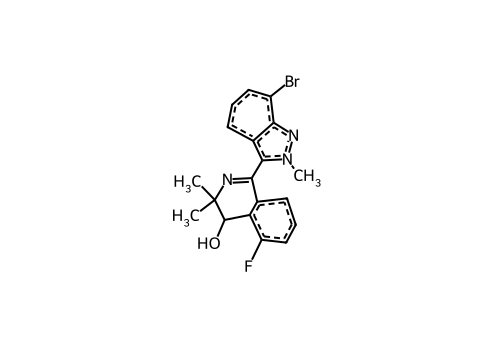 Cn1nc2c(Br)cccc2c1C1=NC(C)(C)C(O)c2c(F)cccc21